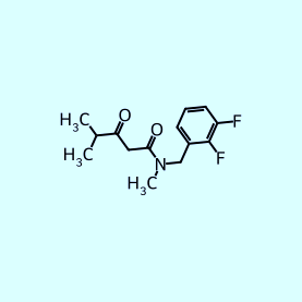 CC(C)C(=O)CC(=O)N(C)Cc1cccc(F)c1F